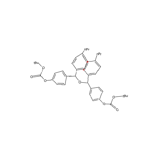 CCCc1ccc(C(OC(c2ccc(CCC)cc2)c2ccc(OC(=O)OC(C)(C)C)cc2)c2ccc(OC(=O)OC(C)(C)C)cc2)cc1